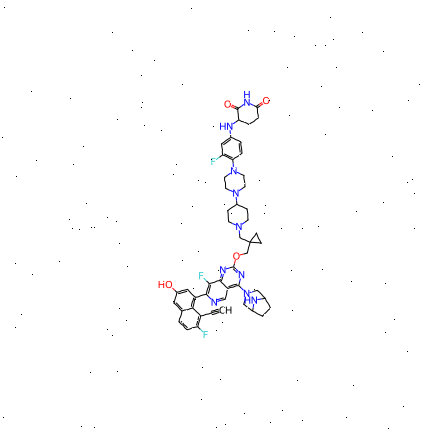 C#Cc1c(F)ccc2cc(O)cc(-c3ncc4c(N5CC6CCC(C5)N6)nc(OCC5(CN6CCC(N7CCN(c8ccc(NC9CCC(=O)NC9=O)cc8F)CC7)CC6)CC5)nc4c3F)c12